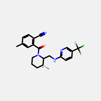 Cc1ccc(C#N)c(C(=O)N2CCC[C@@H](C)C2CNc2ccc(C(F)(F)F)cn2)c1